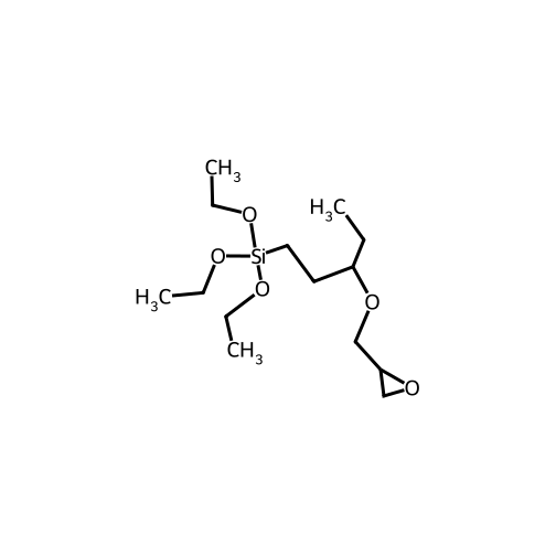 CCO[Si](CCC(CC)OCC1CO1)(OCC)OCC